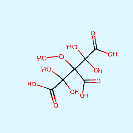 O=C(O)C(O)(O)C(OO)(C(=O)O)C(O)(O)C(=O)O